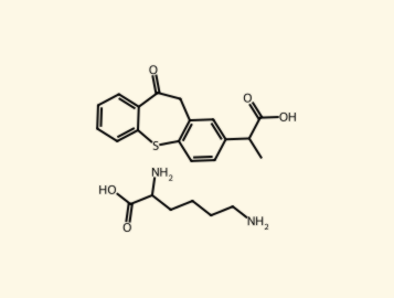 CC(C(=O)O)c1ccc2c(c1)CC(=O)c1ccccc1S2.NCCCCC(N)C(=O)O